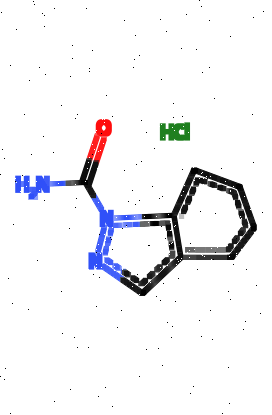 Cl.NC(=O)n1ncc2ccccc21